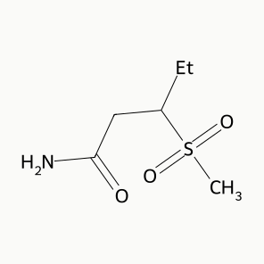 CCC(CC(N)=O)S(C)(=O)=O